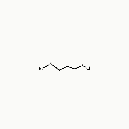 CCNCCCSCl